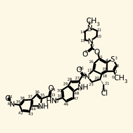 Cc1csc2c(OC(=O)N3CCN(C)CC3)cc3c(c12)[C@H](CCl)CN3C(=O)c1cc2cc(NC(=O)c3cc4cc(N=O)ccc4[nH]3)ccc2[nH]1